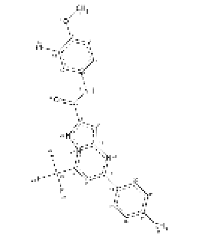 COc1ccc(NC(=O)c2cc3nc(-c4ccc(C)cc4)cc(C(F)(F)F)n3n2)cc1Cl